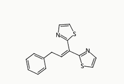 C(Cc1ccccc1)=C(c1nccs1)c1nccs1